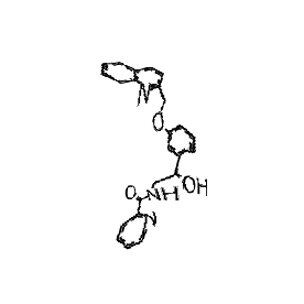 O=C(NCC(O)c1cccc(OCc2ccc3ccccc3n2)c1)c1ccccn1